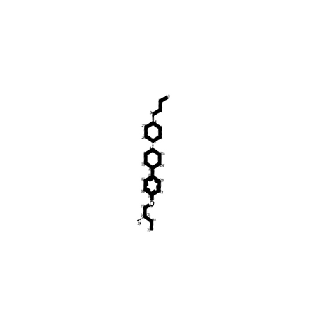 CCCC[C@H]1CC[C@H](C2CCC(c3ccc(OC[C@@H](C)CC)cc3)CC2)CC1